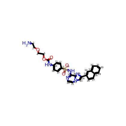 NCCOCCOC(=O)Nc1ccc(S(=O)(=O)Nc2nccn3cc(-c4ccc5ccccc5c4)nc23)cc1